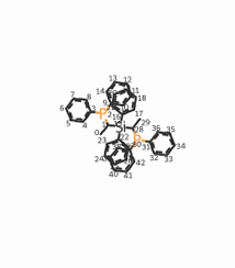 CC(P(c1ccccc1)c1ccccc1)[Si](c1ccccc1)(c1ccccc1)C(C)P(c1ccccc1)c1ccccc1